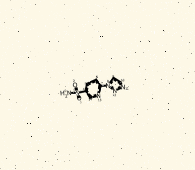 NS(=O)(=O)c1ccc(-n2ccnn2)nc1